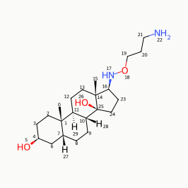 C[C@]12CC[C@H](O)C[C@H]1CC[C@@H]1[C@@H]2CC[C@]2(C)[C@@H](NOCCCN)CC[C@]12O